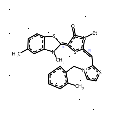 CCn1c(=O)/c(=C2\Sc3ccc(C)cc3N2C)s/c1=C\c1scc[n+]1Cc1ccccc1C